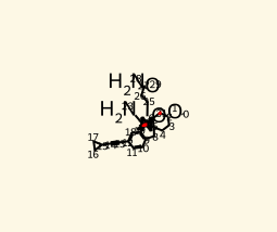 COC1CCC2(CC1)Cc1ccc(C#CC3CC3)cc1C21N=C(N)N(CCC(N)=O)C1=O